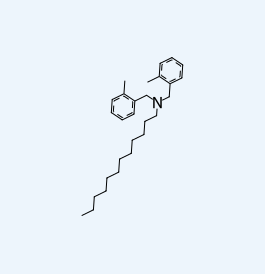 CCCCCCCCCCCCN(Cc1ccccc1C)Cc1ccccc1C